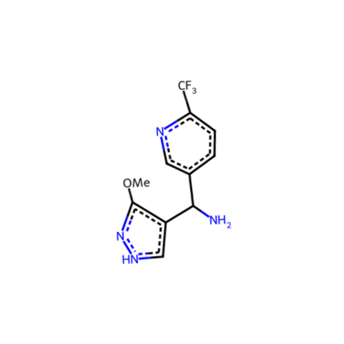 COc1n[nH]cc1C(N)c1ccc(C(F)(F)F)nc1